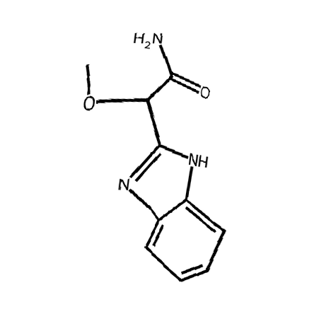 COC(C(N)=O)c1nc2ccccc2[nH]1